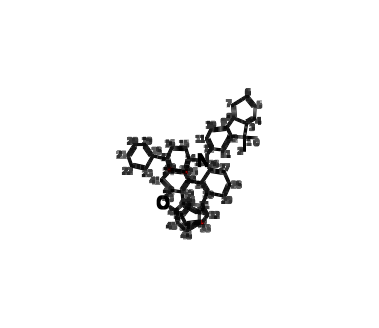 CC1(C)c2ccccc2-c2ccc(N(c3ccc(-c4ccccc4)cc3)c3cccc(-c4ccccc4)c3-c3cccc4oc5ccccc5c34)cc21